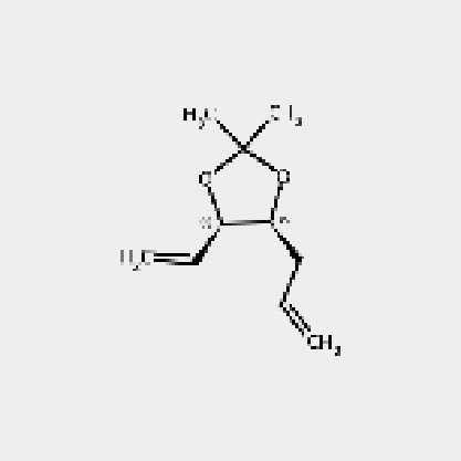 C=CC[C@@H]1OC(C)(C)O[C@@H]1C=C